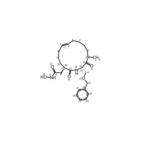 CN1CCCC/C=C/CCC[C@H](CC(=O)NO)C(=O)N[C@@H](COCc2ccccc2)C1=O